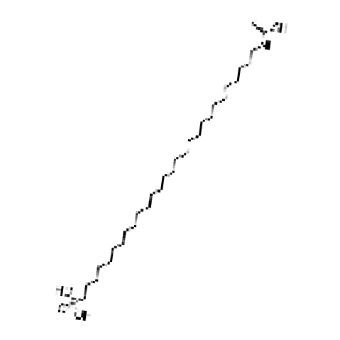 O=P(O)(O)CCCCCCCCCCCCCCCCCCCCCCCCCCCCNC(=S)S